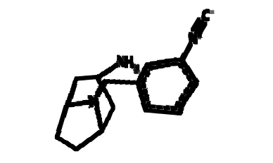 [C-]#[N+]c1cccc(CN2C3CCC2CC(N)C3)c1